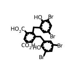 O=C(O)c1ccc(C(=O)O)c(Cc2cc(Br)cc(Br)c2O)c1Cc1cc(Br)cc(Br)c1O